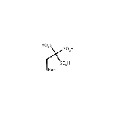 CCCCCCCCCCC(S(=O)(=O)O)(S(=O)(=O)O)S(=O)(=O)O